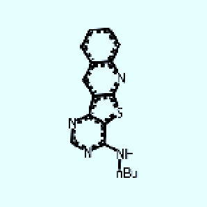 CCCCNc1ncnc2c1sc1nc3ccccc3cc12